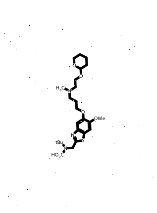 COc1cc2sc(CN(C(=O)O)C(C)(C)C)nc2cc1OCCCN(C)CCOC1CCCCO1